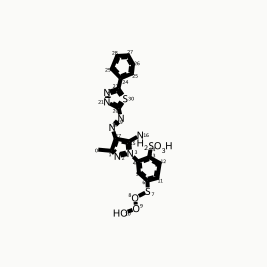 Cc1nn(-c2cc(SOOO)ccc2S(=O)(=O)O)c(N)c1N=Nc1nnc(-c2ccccc2)s1